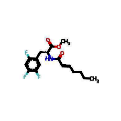 CCCC/C=C/C(=O)N[C@@H](Cc1cc(F)c(F)cc1F)C(=O)OC